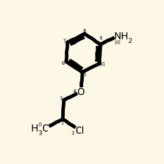 CC(Cl)COc1cccc(N)c1